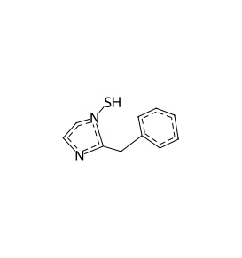 Sn1ccnc1Cc1ccccc1